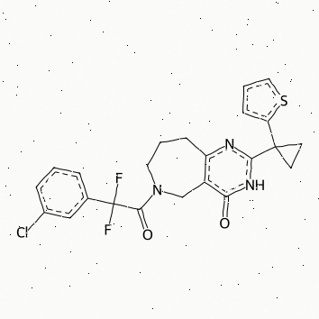 O=C(N1CCCc2nc(C3(c4cccs4)CC3)[nH]c(=O)c2C1)C(F)(F)c1cccc(Cl)c1